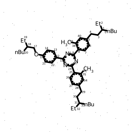 CCCCC(CC)CCc1ccc(-c2nc(-c3ccc(OCC(CC)CCCC)cc3)nc(-c3ccc(CCC(CC)CCCC)cc3C)n2)c(C)c1